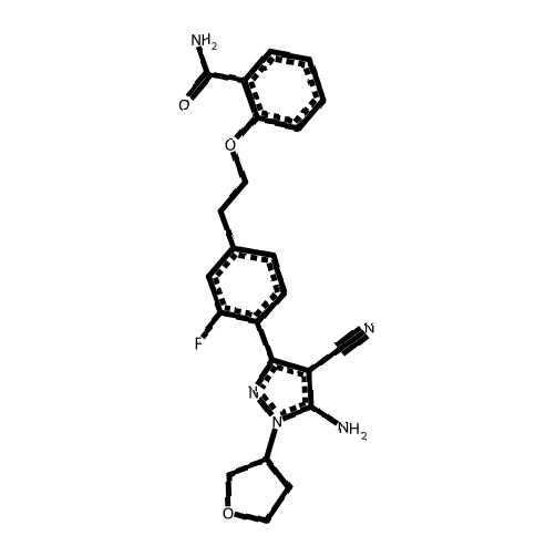 N#Cc1c(-c2ccc(CCOc3ccccc3C(N)=O)cc2F)nn(C2CCOC2)c1N